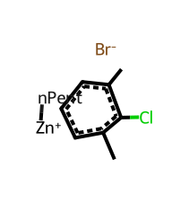 CCCC[CH2][Zn+].Cc1cccc(C)c1Cl.[Br-]